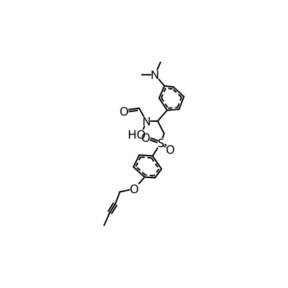 CC#CCOc1ccc(S(=O)(=O)CC(c2cccc(N(C)C)c2)N(O)C=O)cc1